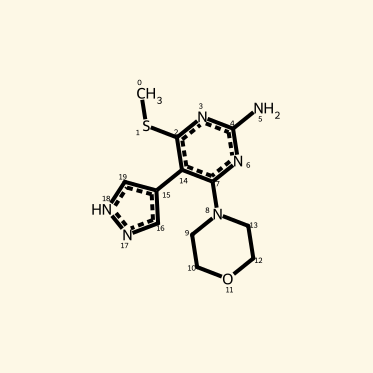 CSc1nc(N)nc(N2CCOCC2)c1-c1cn[nH]c1